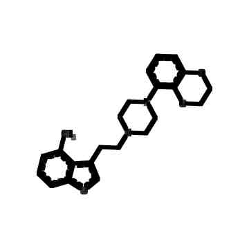 Cc1cccc2occ(CCN3CCN(c4cccc5c4OCCO5)CC3)c12